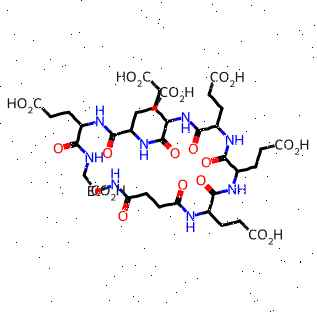 CCNC(=O)CCC(=O)NC(CCC(=O)O)C(=O)NC(CCC(=O)O)C(=O)NC(CCC(=O)O)C(=O)NC(CCC(=O)O)C(=O)NC(CCC(=O)O)C(=O)NC(CCC(=O)O)C(=O)NCC(=O)O